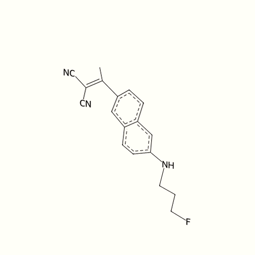 CC(=C(C#N)C#N)c1ccc2cc(NCCCF)ccc2c1